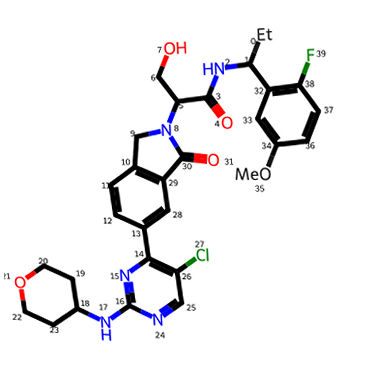 CCC(NC(=O)C(CO)N1Cc2ccc(-c3nc(NC4CCOCC4)ncc3Cl)cc2C1=O)c1cc(OC)ccc1F